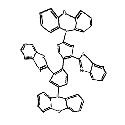 c1ccc2c(c1)Oc1ccccc1N2c1ccc(-c2ccc(N3c4ccccc4Oc4ccccc43)cc2-c2nc3ccccc3s2)c(-c2nc3ccccc3s2)c1